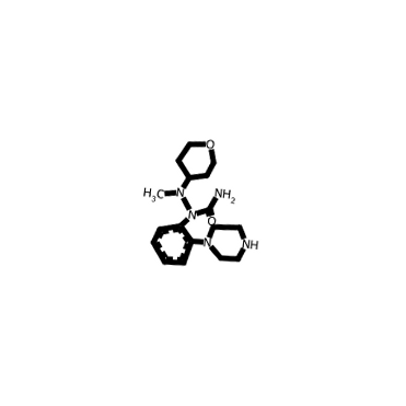 CN(C1CCOCC1)N(C(N)=O)c1ccccc1N1CCNCC1